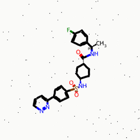 C[C@@H](NC(=O)[C@H]1CC[C@H](NS(=O)(=O)c2ccc(-c3cccnn3)cc2)CC1)c1ccc(F)cc1